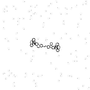 C1=CC2=C(CC1)N(c1ccc3c(c1)C1(CCCC1)c1cc(/C=C/c4ccc5c(ccc6cc(N7c8ccccc8CCc8ccccc87)ccc65)c4)ccc1-3)c1ccccc1CC2